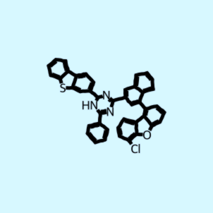 Clc1cccc2c1oc1cccc(-c3cc(C4=NC(c5ccc6c(c5)sc5ccccc56)NC(c5ccccc5)=N4)cc4ccccc34)c12